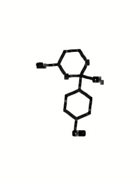 CC(C)(C)C1CCSC(C)(C2CCC(C=O)CC2)S1